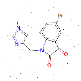 Cn1cnc(CN2C(=O)C(=O)c3cc(Br)ccc32)c1